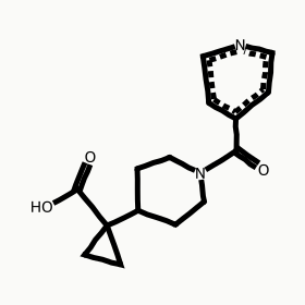 O=C(c1ccncc1)N1CCC(C2(C(=O)O)CC2)CC1